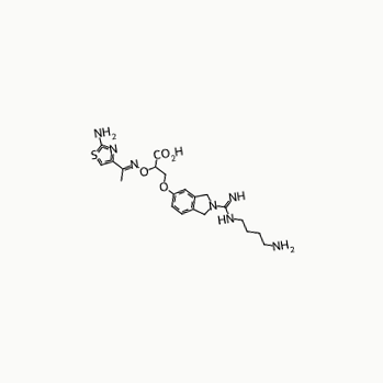 C/C(=N\OC(COc1ccc2c(c1)CN(C(=N)NCCCCN)C2)C(=O)O)c1csc(N)n1